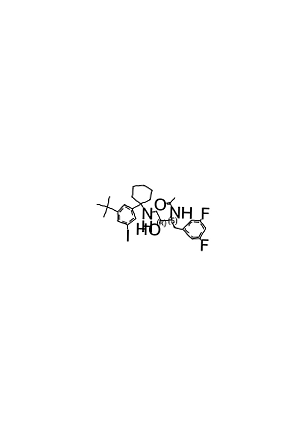 CC(=O)N[C@@H](Cc1cc(F)cc(F)c1)[C@H](O)CNC1(c2cc(I)cc(C(C)(C)C)c2)CCCCC1